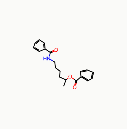 CC(CCCCNC(=O)c1ccccc1)OC(=O)c1ccccc1